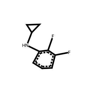 Fc1cccc(NC2CC2)c1F